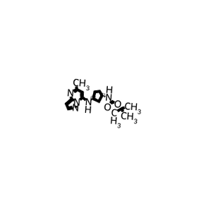 Cc1cc(N[C@@H]2CC[C@H](NC(=O)OC(C)(C)C)C2)n2nccc2n1